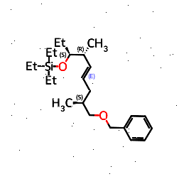 CC[C@H](O[Si](CC)(CC)CC)[C@H](C)/C=C/C[C@H](C)COCc1ccccc1